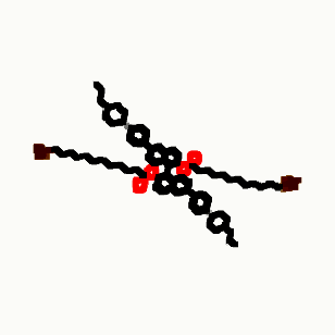 CCC[C@H]1CC[C@H](c2ccc(-c3ccc4c(-c5c(OC(=O)CCCCCCCCCCCBr)ccc6cc(-c7ccc([C@H]8CC[C@H](CCC)CC8)cc7)ccc56)c(OC(=O)CCCCCCCCCCCBr)ccc4c3)cc2)CC1